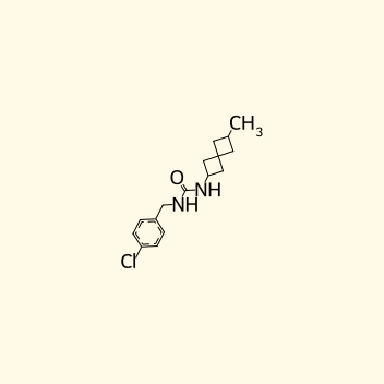 CC1CC2(C1)CC(NC(=O)NCc1ccc(Cl)cc1)C2